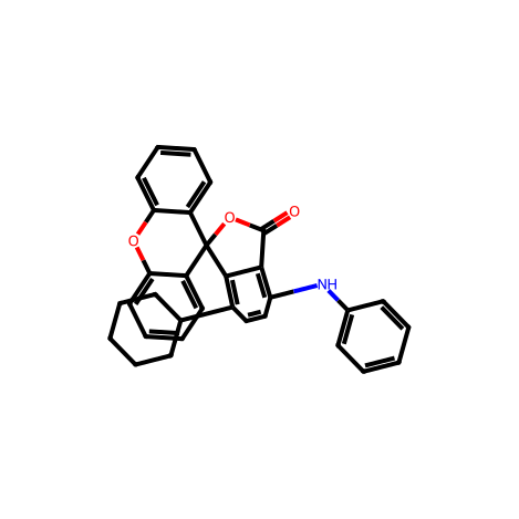 O=C1OC2(c3ccccc3Oc3ccccc32)c2c(C3CCCCC3)ccc(Nc3ccccc3)c21